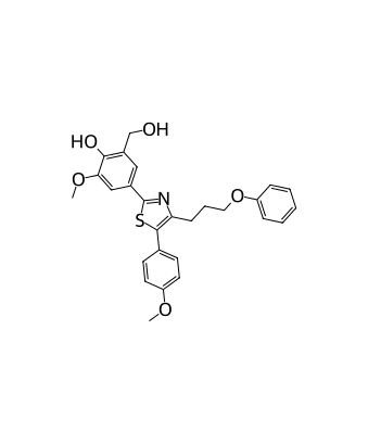 COc1ccc(-c2sc(-c3cc(CO)c(O)c(OC)c3)nc2CCCOc2ccccc2)cc1